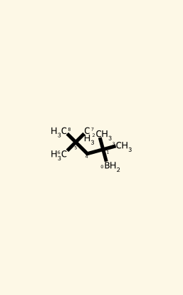 BC(C)(C)CC(C)(C)C